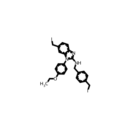 CCOc1ccc(-n2c(NCc3ccc(CI)cc3)nc3ccc(CI)cc32)cc1